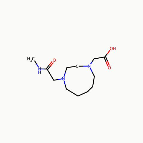 CNC(=O)CN1CCCCCN(CC(=O)O)CC1